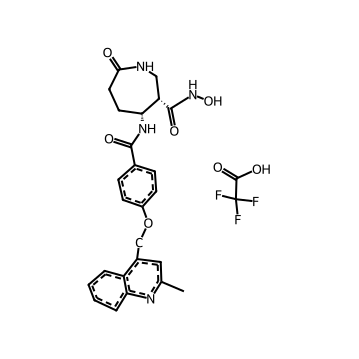 Cc1cc(COc2ccc(C(=O)N[C@@H]3CCC(=O)NC[C@@H]3C(=O)NO)cc2)c2ccccc2n1.O=C(O)C(F)(F)F